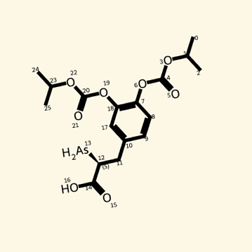 CC(C)OC(=O)Oc1ccc(C[C@H]([AsH2])C(=O)O)cc1OC(=O)OC(C)C